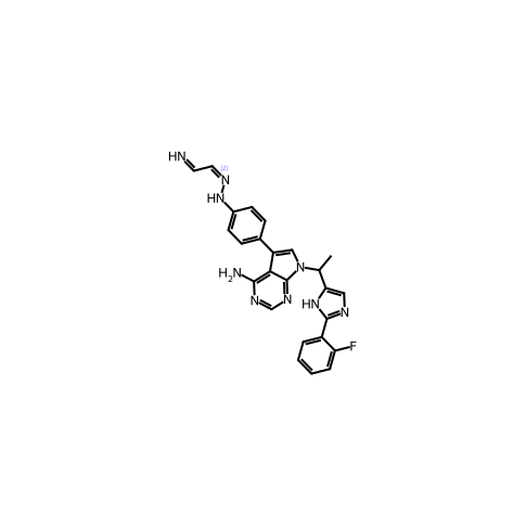 CC(c1cnc(-c2ccccc2F)[nH]1)n1cc(-c2ccc(N/N=C\C=N)cc2)c2c(N)ncnc21